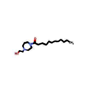 CCCCCCCCCCCC(=O)N1CCCN(CCO)CC1